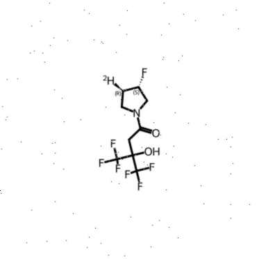 [2H][C@@H]1CN(C(=O)CC(O)(C(F)(F)F)C(F)(F)F)C[C@H]1F